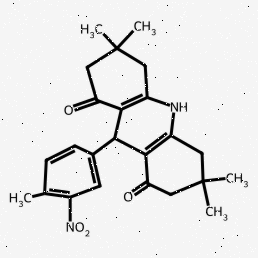 Cc1ccc(C2C3=C(CC(C)(C)CC3=O)NC3=C2C(=O)CC(C)(C)C3)cc1[N+](=O)[O-]